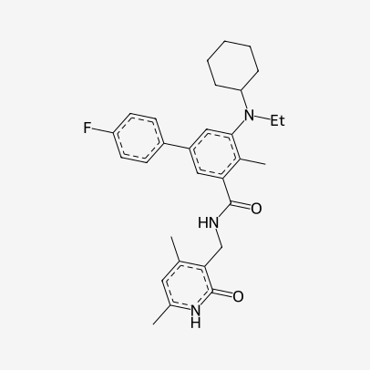 CCN(c1cc(-c2ccc(F)cc2)cc(C(=O)NCc2c(C)cc(C)[nH]c2=O)c1C)C1CCCCC1